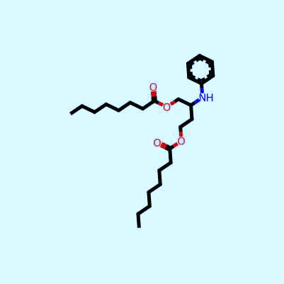 CCCCCCCC(=O)OCCC(COC(=O)CCCCCCC)Nc1ccccc1